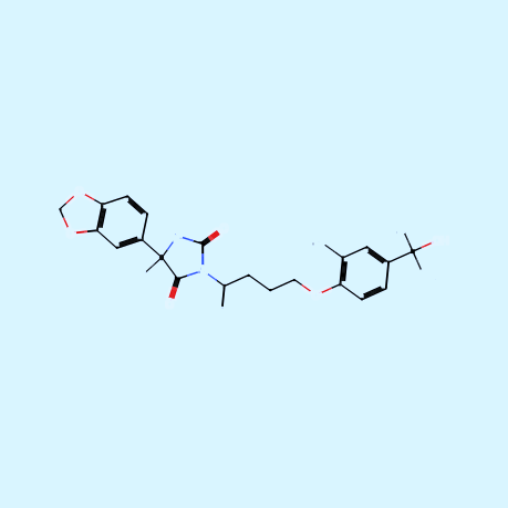 CCCc1cc(C(O)(C(F)(F)F)C(F)(F)F)ccc1OCCCC(C)N1C(=O)NC(CC)(c2ccc3c(c2)OCO3)C1=O